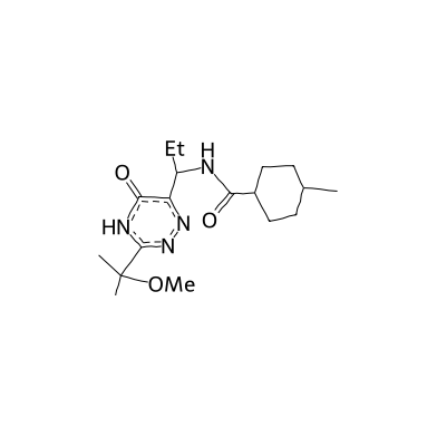 CCC(NC(=O)C1CCC(C)CC1)c1nnc(C(C)(C)OC)[nH]c1=O